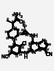 C[C@@H](C(N)=O)N1CCN(c2cc(C#N)cc(Nc3nc(N[C@@H]4C[C@@H]4F)n4ncc(C#N)c4n3)c2Cl)CC1